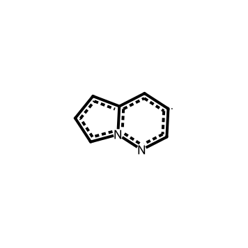 [c]1cnn2cccc2c1